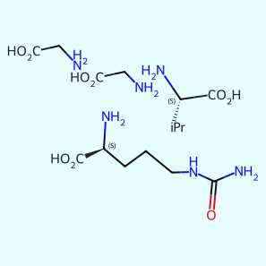 CC(C)[C@H](N)C(=O)O.NC(=O)NCCC[C@H](N)C(=O)O.NCC(=O)O.NCC(=O)O